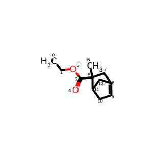 CCOC(=O)C1(C)CC2=CCC1C2